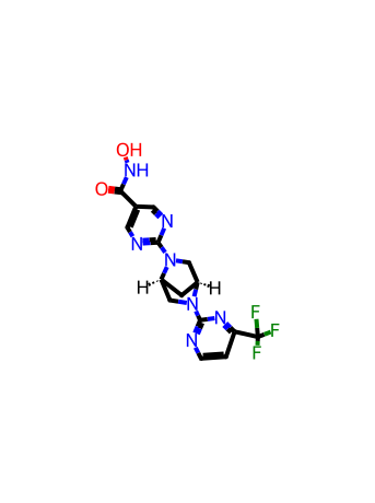 O=C(NO)c1cnc(N2C[C@@H]3C[C@H]2CN3c2nccc(C(F)(F)F)n2)nc1